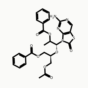 CC(=O)OC[C@@H](COC(=O)c1ccccc1)O[C@H](C(C)OC(=O)c1ccccc1)n1c(=O)sc2cnc(N)nc21